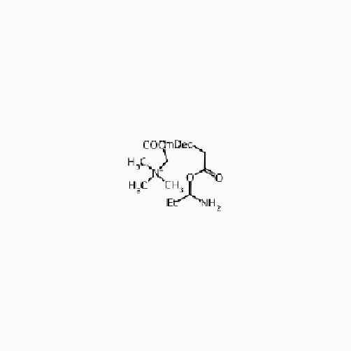 CCCCCCCCCCCC(=O)OC(N)CC.C[N+](C)(C)CC(=O)[O-]